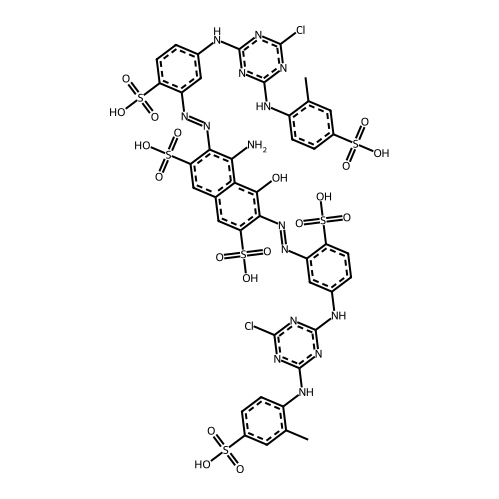 Cc1cc(S(=O)(=O)O)ccc1Nc1nc(Cl)nc(Nc2ccc(S(=O)(=O)O)c(N=Nc3c(S(=O)(=O)O)cc4cc(S(=O)(=O)O)c(N=Nc5cc(Nc6nc(Cl)nc(Nc7ccc(S(=O)(=O)O)cc7C)n6)ccc5S(=O)(=O)O)c(O)c4c3N)c2)n1